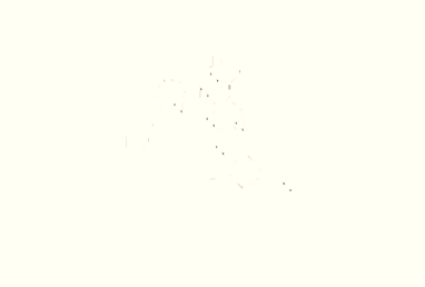 CC(C)n1c(=O)c2cnc(Nc3cc4c(cc3F)CNCC4)nc2n1-c1cccc(C(C)(C)O)n1